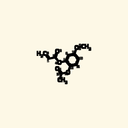 C=CC(=O)Oc1cc(OC)ccc1OC(C)=O